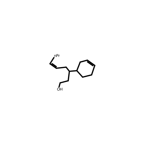 CCC/C=C\CC(CCO)C1CC=CCC1